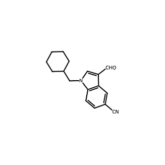 N#Cc1ccc2c(c1)c(C=O)cn2CC1CCCCC1